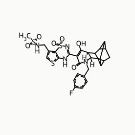 CS(=O)(=O)NCc1csc2c1S(=O)(=O)N=C(C1=C(O)[C@@H]3C4C5C6CC7C4C7C(C65)[C@@H]3N(Cc3ccc(F)cc3)C1=O)N2